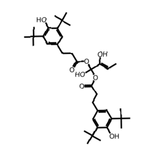 CC=C(O)C(O)(OC(=O)CCc1cc(C(C)(C)C)c(O)c(C(C)(C)C)c1)OC(=O)CCc1cc(C(C)(C)C)c(O)c(C(C)(C)C)c1